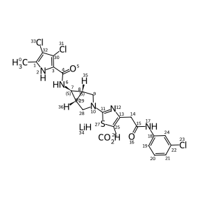 Cc1[nH]c(C(=O)N[C@H]2[C@@H]3CN(c4nc(CC(=O)Nc5cccc(Cl)c5)c(C(=O)O)s4)C[C@@H]32)c(Cl)c1Cl.[LiH]